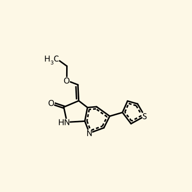 CCO/C=C1\C(=O)Nc2ncc(-c3ccsc3)cc21